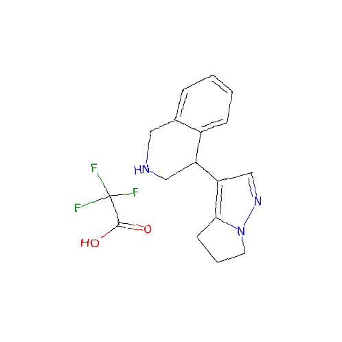 O=C(O)C(F)(F)F.c1ccc2c(c1)CNCC2c1cnn2c1CCC2